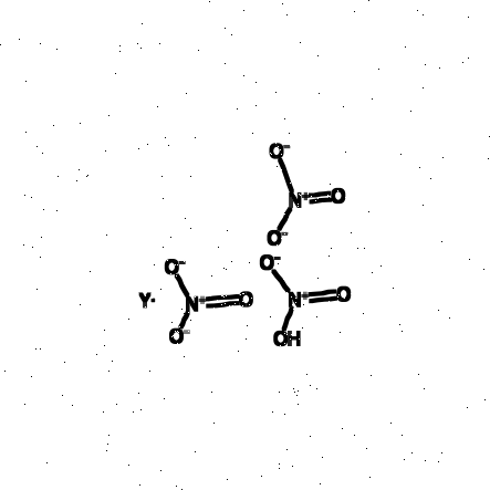 O=[N+]([O-])O.O=[N+]([O-])[O-].O=[N+]([O-])[O-].[Y]